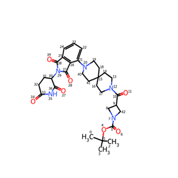 CC(C)(C)OC(=O)N1CC(C(=O)N2CCC3(CC2)CCN(c2cccc4c2C(=O)N(C2CCC(=O)NC2=O)C4=O)CC3)C1